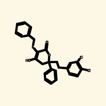 O=C1OC(CCc2ccc(Cl)c(Cl)c2)(c2ccccc2)CC(O)=C1SCc1ccccc1